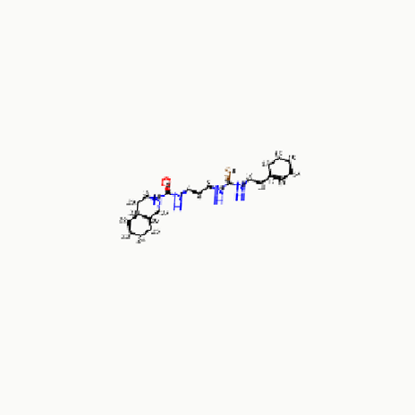 O=C(NCCCNC(=S)NCCC1=CCCCC1)N1CCC2CCCCC2C1